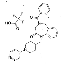 O=C(O)C(F)(F)F.O=C(c1ccccc1)N1CC(=O)N(CC2CCN(c3ccncc3)CC2)c2ccccc2C1